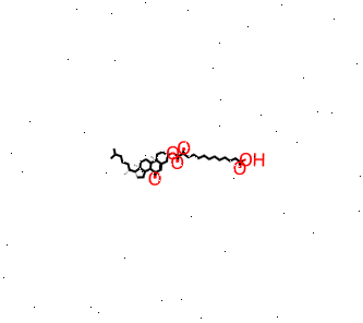 CC(C)CCC[C@@H](C)[C@H]1CCC2C3C(=O)C=C4CC(OC(=O)C(=O)CCCCCCCCCCC(=O)O)CC[C@]4(C)C3CC[C@@]21C